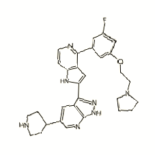 Fc1cc(OCCN2CCCC2)cc(-c2nccc3[nH]c(-c4n[nH]c5ncc(C6CCNCC6)cc45)cc23)c1